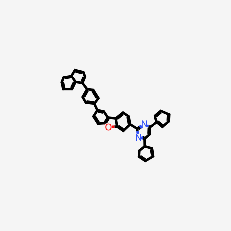 C1=CCC(c2cc(-c3ccccc3)nc(-c3ccc4c(c3)oc3ccc(-c5ccc(-c6cccc7ccccc67)cc5)cc34)n2)C=C1